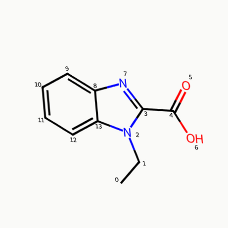 CCn1c(C(=O)O)nc2ccccc21